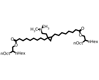 CCCCCCCCC(CCCCCC)COC(=O)CCCCCCCCC1(CCN(C)C)CC1CCCCCCCC(=O)OCC(CCCCCC)CCCCCCCC